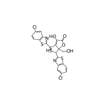 O=C1OC(CO)(C(S)c2nc3cc(Cl)ccc3s2)C(Sc2nc3cc(Cl)ccc3s2)=C1O